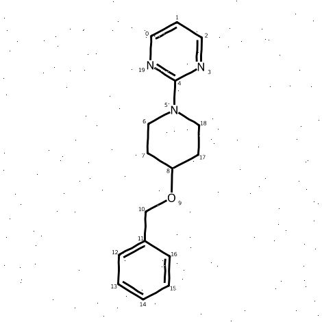 [c]1ccnc(N2CCC(OCc3ccccc3)CC2)n1